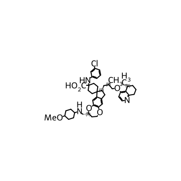 COC1CCC(NC[C@H]2CCOc3cc4c(cc3O2)C2(CCC(Nc3cccc(Cl)c3)(C(=O)O)CC2)[C@@H](C[C@@H](C)COc2ccnc3c2[C@H](C)CCC3)C4)CC1